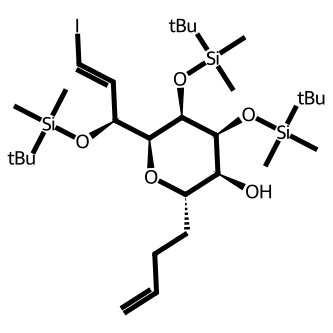 C=CCC[C@@H]1O[C@@H]([C@H](/C=C/I)O[Si](C)(C)C(C)(C)C)[C@@H](O[Si](C)(C)C(C)(C)C)[C@@H](O[Si](C)(C)C(C)(C)C)[C@H]1O